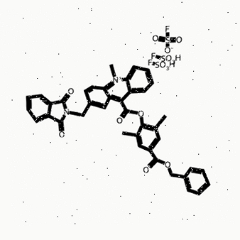 Cc1cc(C(=O)OCc2ccccc2)cc(C)c1OC(=O)c1c2ccccc2[n+](C)c2ccc(CN3C(=O)c4ccccc4C3=O)cc12.O=S(=O)(O)F.O=S(=O)(O)F.O=S(=O)([O-])F